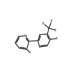 Cc1cccnc1-c1ccc(F)c(C(F)(F)F)c1